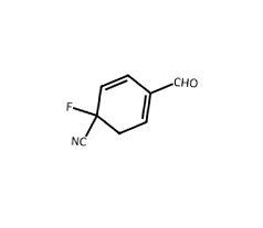 N#CC1(F)C=CC(C=O)=CC1